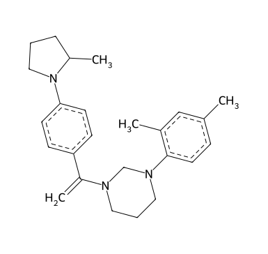 C=C(c1ccc(N2CCCC2C)cc1)N1CCCN(c2ccc(C)cc2C)C1